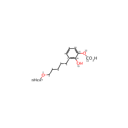 CCCCCCOCCCCCc1cccc(OC(=O)O)c1O